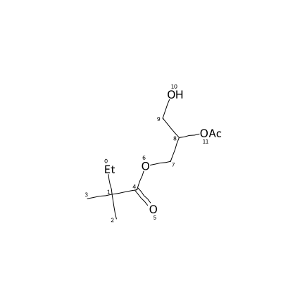 CCC(C)(C)C(=O)OCC(CO)OC(C)=O